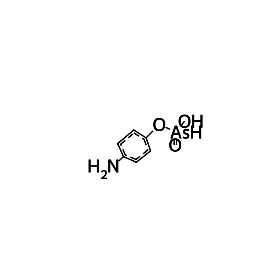 Nc1ccc(O[AsH](=O)O)cc1